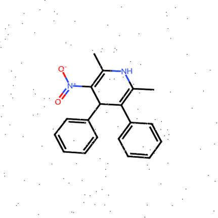 CC1=C(c2ccccc2)C(c2ccccc2)C([N+](=O)[O-])=C(C)N1